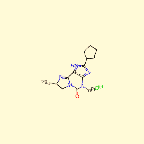 CCCCC1CN2C(=O)N(CCC)c3nc(C4CCCC4)[nH]c3C2=N1.Cl